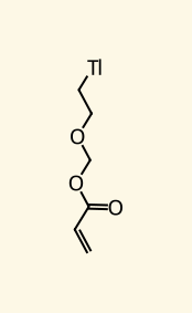 C=CC(=O)OCOC[CH2][Tl]